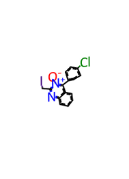 [O-][n+]1c(CI)nc2ccccc2c1-c1ccc(Cl)cc1